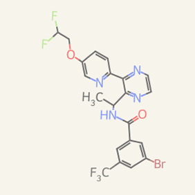 CC(NC(=O)c1cc(Br)cc(C(F)(F)F)c1)c1nccnc1-c1ccc(OCC(F)F)cn1